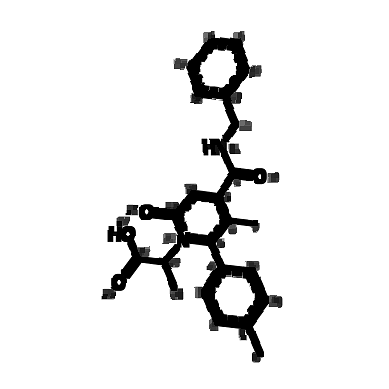 Cc1ccc(-c2c(C)c(C(=O)NCc3ccccc3)cc(=O)n2C(C)C(=O)O)cc1